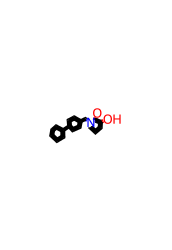 O=c1c(O)cccn1Cc1ccc(-c2ccccc2)cc1